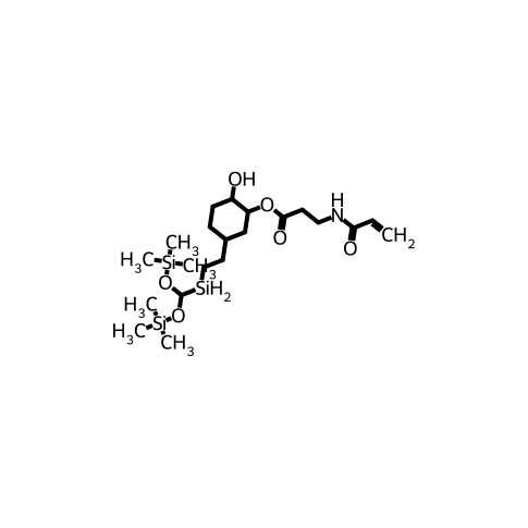 C=CC(=O)NCCC(=O)OC1CC(CC[SiH2]C(O[Si](C)(C)C)O[Si](C)(C)C)CCC1O